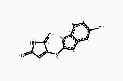 O=C1C=C(Sc2cc3cc(F)ccc3s2)C(=O)N1